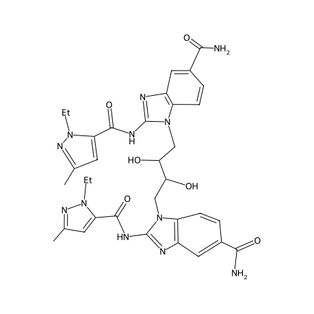 CCn1nc(C)cc1C(=O)Nc1nc2cc(C(N)=O)ccc2n1CC(O)C(O)Cn1c(NC(=O)c2cc(C)nn2CC)nc2cc(C(N)=O)ccc21